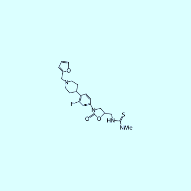 CNC(=S)NCC1CN(c2ccc(C3CCN(Cc4ccco4)CC3)c(F)c2)C(=O)O1